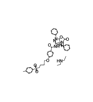 CC(=O)NC1(Nc2ccccc2)C(=O)N(c2ccccc2)N=C1NC(=O)c1ccc(OCCCCS(=O)(=O)c2ccc(C)cc2)cc1.CCNCC